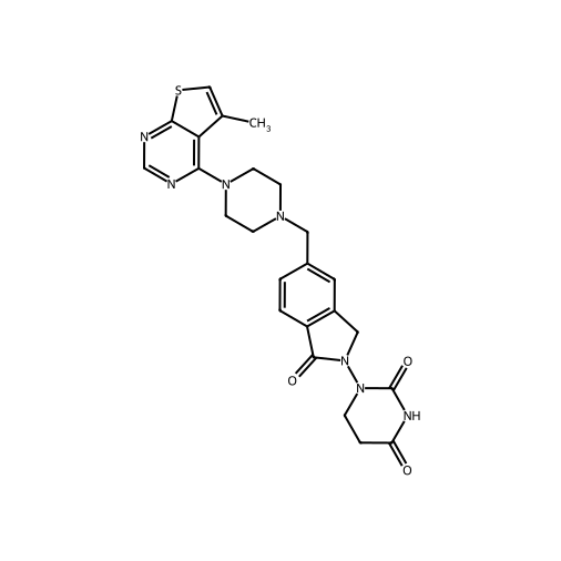 Cc1csc2ncnc(N3CCN(Cc4ccc5c(c4)CN(N4CCC(=O)NC4=O)C5=O)CC3)c12